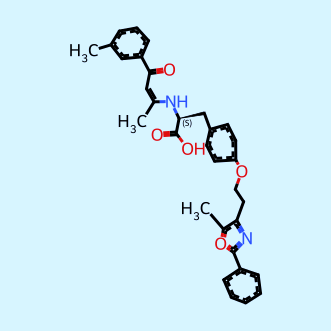 CC(=CC(=O)c1cccc(C)c1)N[C@@H](Cc1ccc(OCCc2nc(-c3ccccc3)oc2C)cc1)C(=O)O